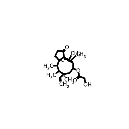 C=C[C@]1(C)CC(OC(=O)CO)C2C(C)CCC3(CCC(=O)C3C2C)C(C)C1C